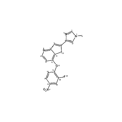 Cn1cnc(-c2cc3nccc(Oc4ccc([N+](=O)[O-])cc4F)c3s2)c1